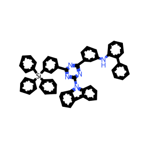 c1ccc(-c2ccccc2Nc2cccc(-c3nc(-c4cccc([Si](c5ccccc5)(c5ccccc5)c5ccccc5)c4)nc(-n4c5ccccc5c5ccccc54)n3)c2)cc1